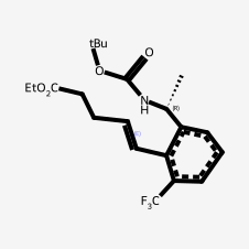 CCOC(=O)CC/C=C/c1c([C@@H](C)NC(=O)OC(C)(C)C)cccc1C(F)(F)F